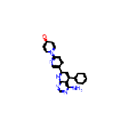 Nc1ncnc2nc(-c3ccc(N4CCC(=O)CC4)nc3)cc(C3CCCCC3)c12